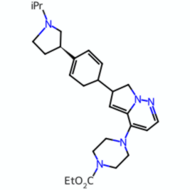 CCOC(=O)N1CCN(C2=CC=NN3CC(C4C=CC([C@H]5CCN(C(C)C)C5)=CC4)C=C23)CC1